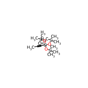 CC#C[Si](O[Si](C)(C)C)(O[Si](C)(C)C)O[Si](C)(C)C